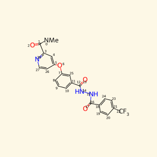 CNC(=O)c1cc(Oc2cccc(C(=O)NNC(=O)c3ccc(C(F)(F)F)cc3)c2)ccn1